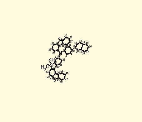 C[Si]1(C)c2cc(N(c3ccc(-c4ccc5ccccc5c4)cc3)c3cccc4sc5ccccc5c34)ccc2-c2c1ccc1sc3ccccc3c21